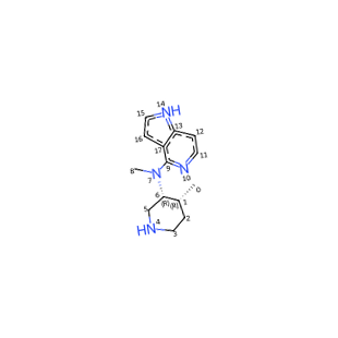 C[C@@H]1CCNC[C@@H]1N(C)c1nccc2[nH]ccc12